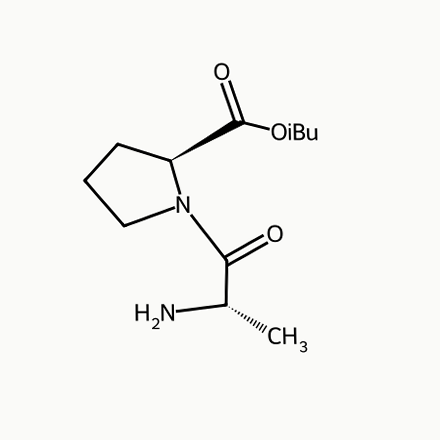 CC(C)COC(=O)[C@@H]1CCCN1C(=O)[C@H](C)N